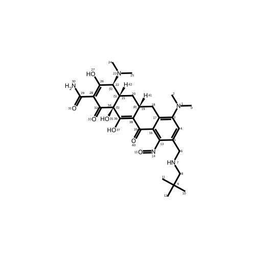 CN(C)c1cc(CNCC(C)(C)C)c(N=O)c2c1C[C@H]1C[C@H]3[C@H](N(C)C)C(O)=C(C(N)=O)C(=O)[C@@]3(O)C(O)=C1C2=O